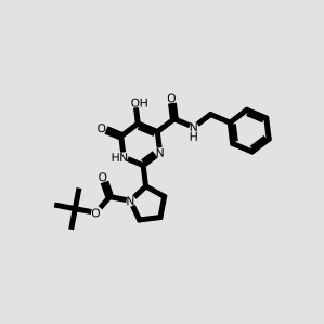 CC(C)(C)OC(=O)N1CCCC1c1nc(C(=O)NCc2ccccc2)c(O)c(=O)[nH]1